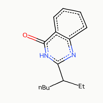 CCCCC(CC)c1nc2ccccc2c(=O)[nH]1